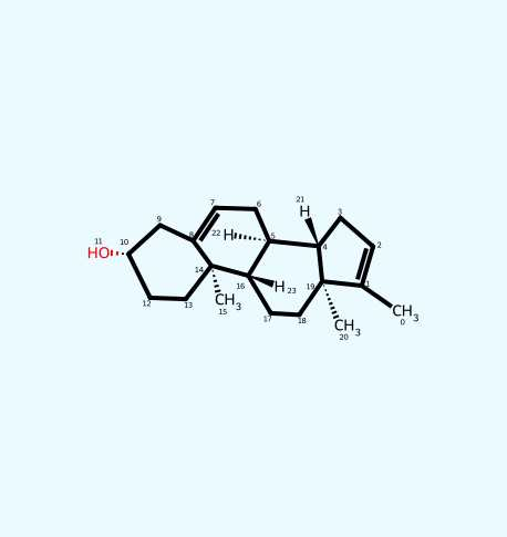 CC1=CC[C@H]2[C@@H]3CC=C4C[C@@H](O)CC[C@]4(C)[C@H]3CC[C@]12C